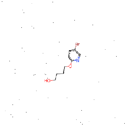 OCCCCOc1ccc(Br)cn1